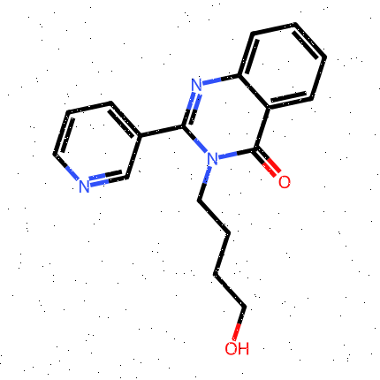 O=c1c2ccccc2nc(-c2cccnc2)n1CCCCO